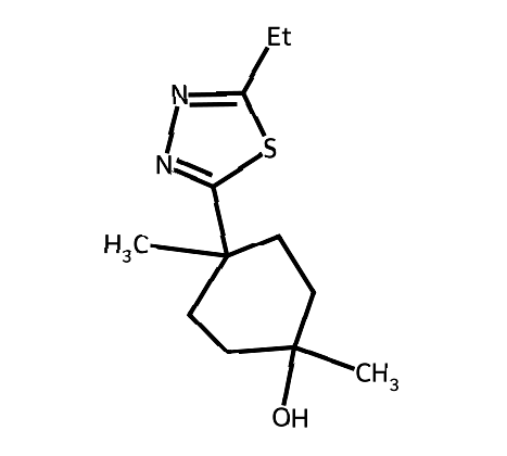 CCc1nnc(C2(C)CCC(C)(O)CC2)s1